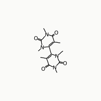 Cc1c(-c2c(C)c(=O)n(C)c(=O)n2C)n(C)c(=O)n(C)c1=O